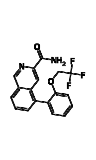 NC(=O)c1cc2c(-c3ccccc3OCC(F)(F)F)cccc2cn1